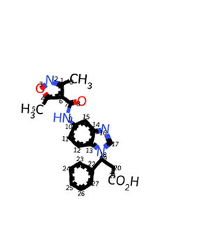 Cc1noc(C)c1C(=O)Nc1ccc2c(c1)ncn2C(CC(=O)O)c1ccccc1